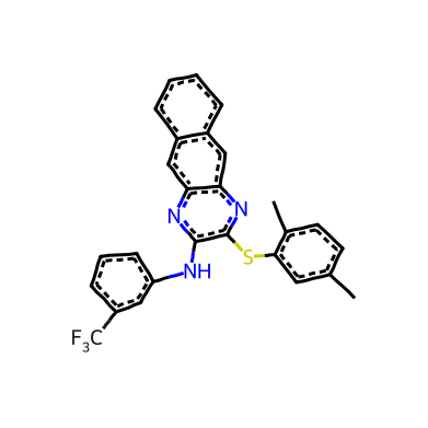 Cc1ccc(C)c(Sc2nc3cc4ccccc4cc3nc2Nc2cccc(C(F)(F)F)c2)c1